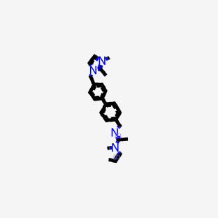 C/C=C\N(C)/C(C)=N/Cc1ccc(-c2ccc(C[n+]3ccn(C)c3C)cc2)cc1